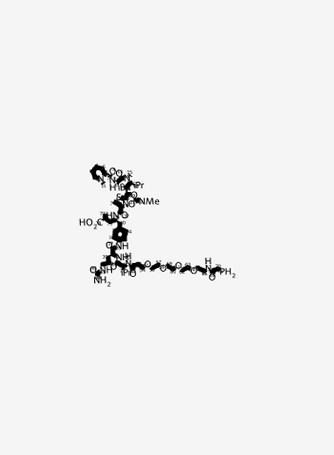 CC[C@H](C)[C@H](NC(=O)[C@H]1CCCCN1C)C(=O)N(C)[C@H](C[C@@H](OC(=O)NC)c1nc(C(=O)N[C@@H](Cc2ccc(NC(=O)[C@H](CCCNC(N)=O)NC(=O)[C@@H](NC(=O)CCOCCOCCOCCOCCNC(=O)CP)C(C)C)cc2)C[C@H](C)C(=O)O)cs1)C(C)C